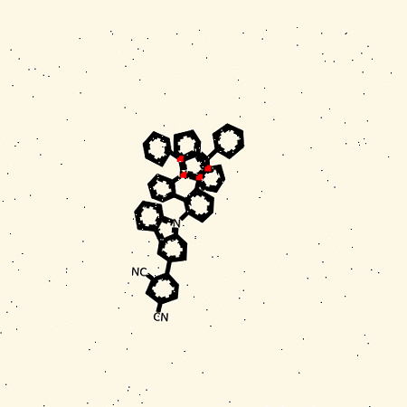 N#Cc1ccc(-c2ccc3c(c2)c2ccccc2n3-c2cccc(-c3cc(-c4ccccc4)nc(-c4ccccc4)n3)c2-c2ccccc2-n2c3ccccc3c3ccccc32)c(C#N)c1